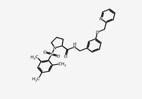 Cc1cc(C)c(S(=O)(=O)N2CCCC2C(=O)NCc2cccc(OCc3ccccn3)c2)c(C)c1